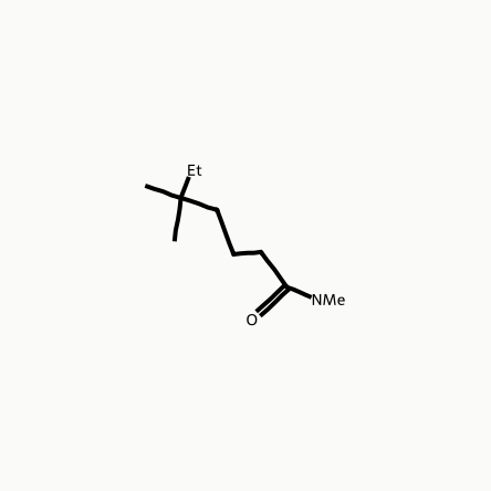 CCC(C)(C)CCCC(=O)NC